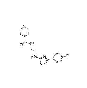 O=C(NCCNc1nc(-c2ccc(F)cc2)cs1)c1ccncc1